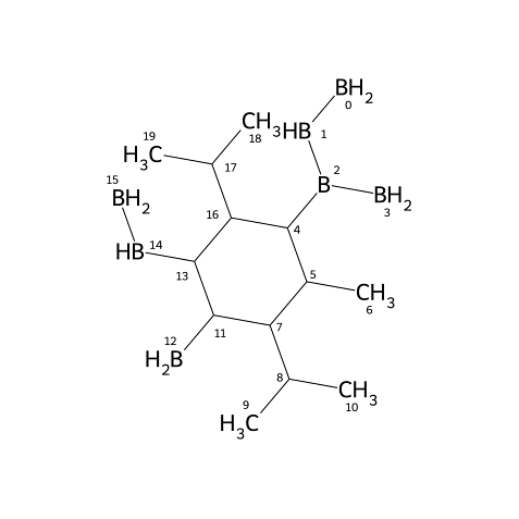 BBB(B)C1C(C)C(C(C)C)C(B)C(BB)C1C(C)C